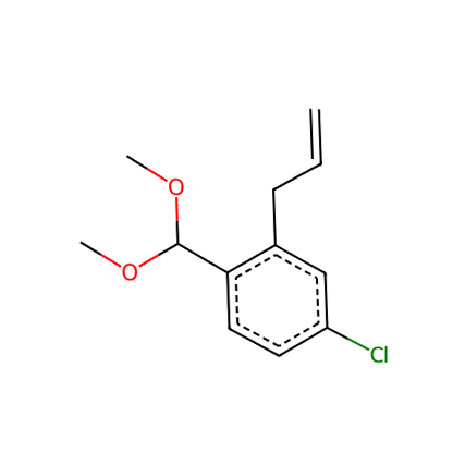 C=CCc1cc(Cl)ccc1C(OC)OC